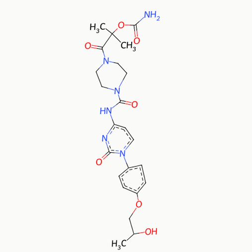 CC(O)COc1ccc(-n2ccc(NC(=O)N3CCN(C(=O)C(C)(C)OC(N)=O)CC3)nc2=O)cc1